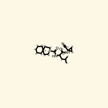 CC(C)CC(NC(=O)N1CCC2(CCCCC2)CC1)C(=O)NC1(C#N)CC1